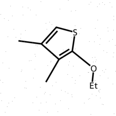 CCOc1scc(C)c1C